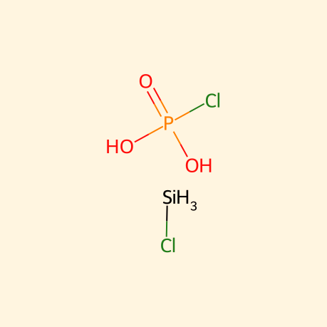 O=P(O)(O)Cl.[SiH3]Cl